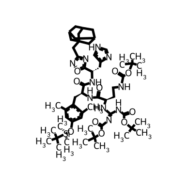 Cc1cc(O[Si](C)(C)C(C)(C)C)cc(C)c1C[C@H](NC(=O)[C@@H](CCNC(=O)OC(C)(C)C)N/C(=N\C(=O)OC(C)(C)C)NC(=O)OC(C)(C)C)C(=O)N[C@@H](Cc1c[nH]cn1)c1nc(CC23CC4CC(CC(C4)C2)C3)no1